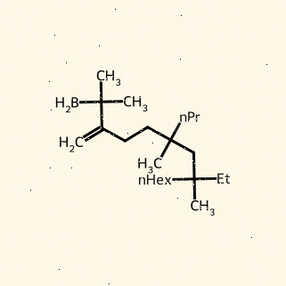 BC(C)(C)C(=C)CCC(C)(CCC)CC(C)(CC)CCCCCC